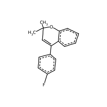 CC1(C)C=C(c2ccc(F)cc2)c2ccccc2O1